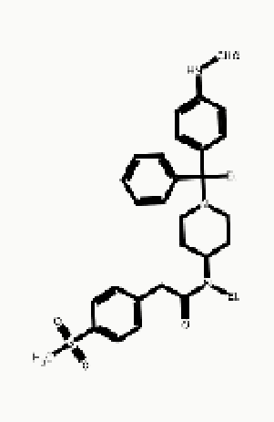 CCN(C(=O)Cc1ccc(S(C)(=O)=O)cc1)C1CCN(C(CC)(c2ccccc2)c2ccc(NC=O)cc2)CC1